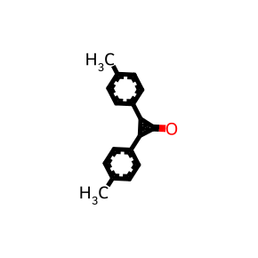 Cc1ccc(-c2c(-c3ccc(C)cc3)c2=O)cc1